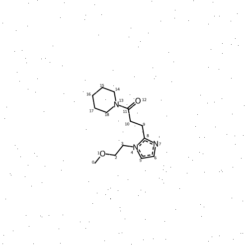 COCCn1ccnc1CCC(=O)N1CCCCC1